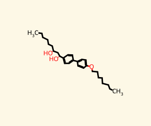 CCCCCCCCOc1ccc(-c2ccc([C@H](O)C[C@H](O)CCCCCC)cc2)cc1